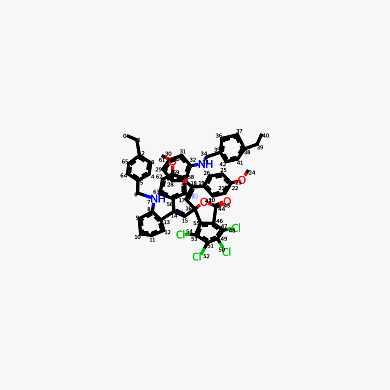 CCc1ccc(CNc2ccccc2/C(=C/C2(/C=C(\c3ccc(OC)cc3)c3ccccc3NCc3ccc(CC)cc3)OC(=O)c3c(Cl)c(Cl)c(Cl)c(Cl)c32)c2ccc(OC)cc2)cc1